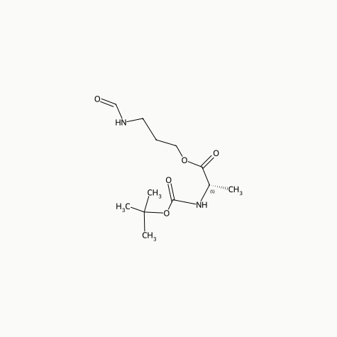 C[C@H](NC(=O)OC(C)(C)C)C(=O)OCCCNC=O